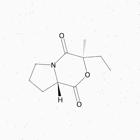 CC[C@@]1(C)OC(=O)[C@@H]2CCCN2C1=O